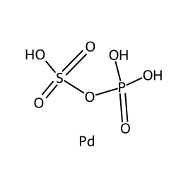 O=P(O)(O)OS(=O)(=O)O.[Pd]